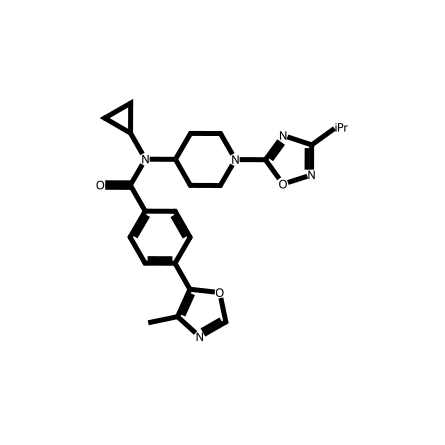 Cc1ncoc1-c1ccc(C(=O)N(C2CC2)C2CCN(c3nc(C(C)C)no3)CC2)cc1